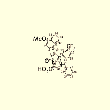 COc1ccc(Cc2cc(=O)n3c(c2-c2cccc(C(F)(F)F)c2)N(Cc2ccccc2)CC3C(=O)O)c2ccccc12